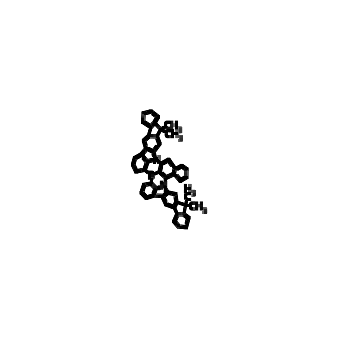 CC1(C)c2ccccc2-c2cc3c4cccc5c4n(c3cc21)-c1cc2ccccc2c2c1B5c1cccc3c4cc5c(cc4n-2c13)C(C)(C)c1ccccc1-5